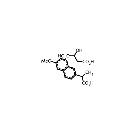 COc1ccc2cc(C(C)C(=O)O)ccc2c1.O=C(O)CC(O)C(=O)O